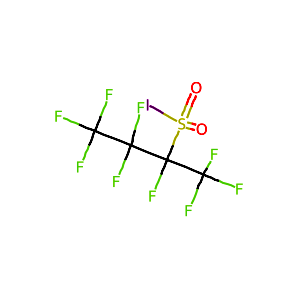 O=S(=O)(I)C(F)(C(F)(F)F)C(F)(F)C(F)(F)F